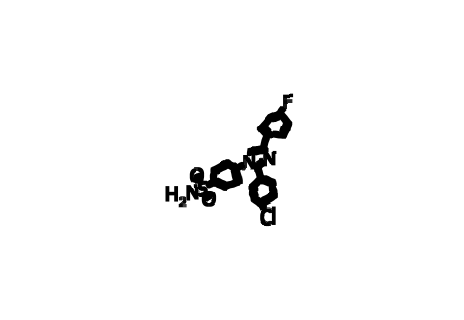 NS(=O)(=O)c1ccc(-n2cc(-c3ccc(F)cc3)nc2-c2ccc(Cl)cc2)cc1